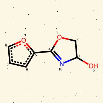 OC1COC(c2ccco2)=N1